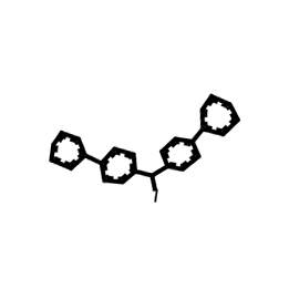 IC(c1ccc(-c2ccccc2)cc1)c1ccc(-c2ccccc2)cc1